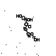 OC1CCN(C(O)c2ccc(-c3cc(-c4ccnc(OC5CC(O)C5)c4)cs3)c(Cl)c2)CC1